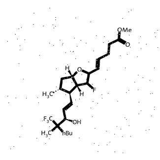 CCCCC(C)([C@H](O)/C=C/[C@@H]1[C@H]2C(F)C(/C=C/CCC(=O)OC)O[C@H]2C[C@H]1C)C(F)(F)F